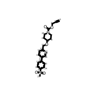 C#CCOC(=O)N1CCC(OCc2ccc(-c3ccc(S(C)(=O)=O)cc3)cn2)CC1